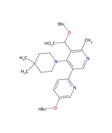 CCCCOc1ccc(-c2cnc(C)c(C(OC(C)(C)C)C(=O)O)c2N2CCC(C)(C)CC2)nc1